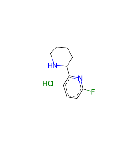 Cl.Fc1cccc(C2CCCCN2)n1